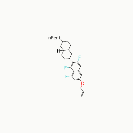 C=CCOc1cc(F)c2c(F)c([C@@H]3CC[C@@H]4CC(CCCCC)CCC4C3)c(F)cc2c1